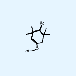 CCCOC1=CC(C)(C)C(C(C)=O)C(C)(C)C1